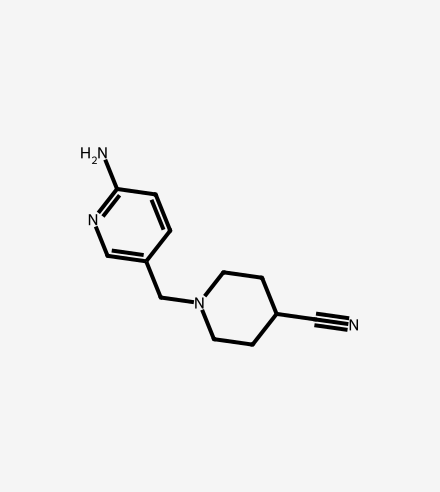 N#CC1CCN(Cc2ccc(N)nc2)CC1